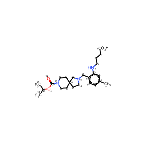 O=C(O)CCCNc1cc(C(F)(F)F)ccc1CN1CCC2(CCN(C(=O)OC(C(F)(F)F)C(F)(F)F)CC2)C1